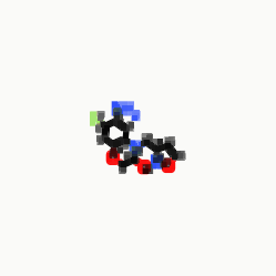 Nc1cc2c(cc1F)OCC(=O)N2Cc1ccon1